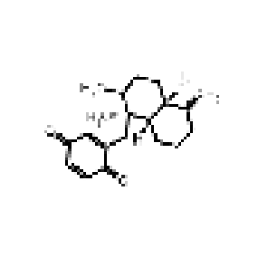 C=C1CCC[C@@H]2[C@@](C)(CC3=CC(=O)C=CC3=O)C(C)CC[C@]12C